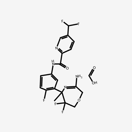 CC1(c2cc(NC(=O)c3ccc(C(F)F)cn3)ccc2F)N=C(N)COCC1(F)F.O=CO